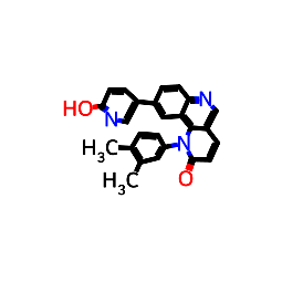 Cc1ccc(-n2c(=O)ccc3cnc4ccc(-c5ccc(O)nc5)cc4c32)cc1C